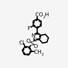 Cc1cccc(Cl)c1S(=O)(=O)n1nc(-c2ccc(C(=O)O)cc2F)c2c1CCCC2